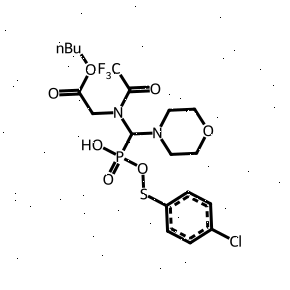 CCCCOC(=O)CN(C(=O)C(F)(F)F)C(N1CCOCC1)P(=O)(O)OSc1ccc(Cl)cc1